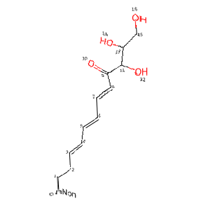 CCCCCCCCCCCC=CC=CC=CC(=O)C(O)C(O)CO